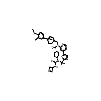 COc1ccc(C23CCC(CN(c4cc(-c5cnc(C(C)(C)C)s5)ccn4)C(=O)[C@H]4CC[C@H](OC(=O)NC5COC5)CC4)(CC2)CC3)cc1C